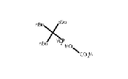 CCCCC(P)(CCCC)CCCC.O=C(O)O